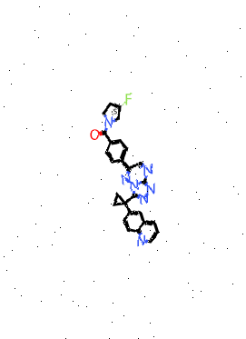 O=C(c1ccc(-c2cnc3nnc(C4(c5ccc6ncccc6c5)CC4)n3n2)cc1)N1CC[C@H](F)C1